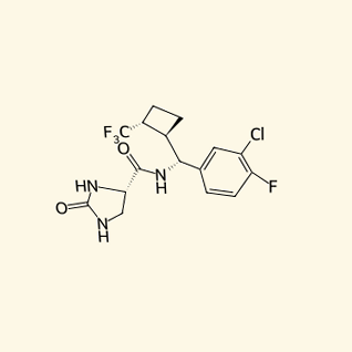 O=C1NC[C@@H](C(=O)N[C@@H](c2ccc(F)c(Cl)c2)[C@@H]2CC[C@H]2C(F)(F)F)N1